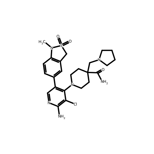 CN1c2ccc(-c3cnc(N)c(Cl)c3N3CCC(CN4CCCC4)(C(N)=O)CC3)cc2CS1(=O)=O